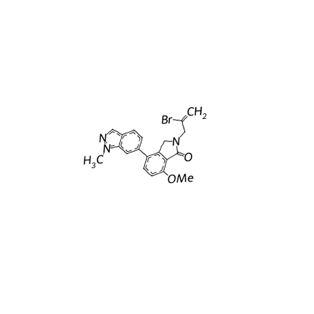 C=C(Br)CN1Cc2c(-c3ccc4cnn(C)c4c3)ccc(OC)c2C1=O